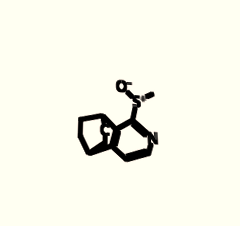 C[S+]([O-])c1nccc2c1C1CCC2CC1